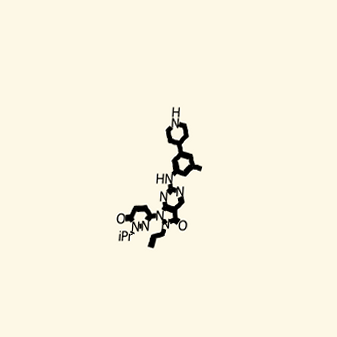 C=CCn1c(=O)c2cnc(Nc3cc(C)cc(C4CCNCC4)c3)nc2n1-c1ccc(=O)n(C(C)C)n1